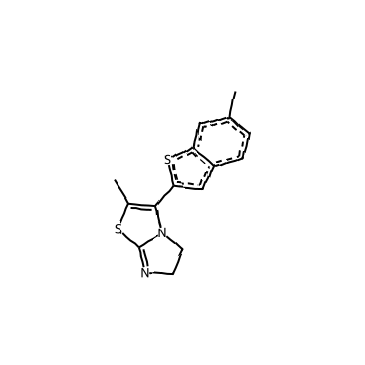 CC1=C(c2cc3ccc(C)cc3s2)N2CCN=C2S1